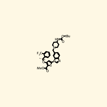 COC(=O)c1sc(-n2cnc3ccc(CN4CCC(NC(=O)OC(C)(C)C)CC4)cc32)cc1O[C@H](C)c1ccccc1C(F)(F)F